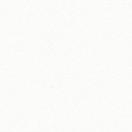 c1cc(-c2cc(-c3ccc(-c4cccc5c4sc4ccccc45)cc3)c3ccc4cccc5ccc2c3c45)cc(-c2cccc3c2sc2ccccc23)c1